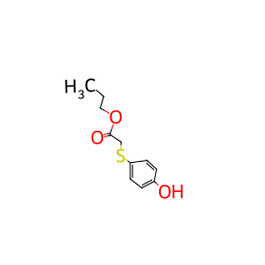 CCCOC(=O)CSc1ccc(O)cc1